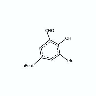 CCCCCc1cc(C=O)c(O)c(C(C)(C)C)c1